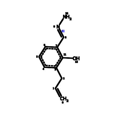 C=CCc1cccc(/C=N/N)c1O